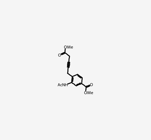 COC(=O)CC#CCc1ccc(C(=O)OC)cc1NC(C)=O